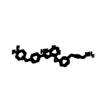 NCC#CCc1cccc(Oc2ncnc3[nH]c(-c4ccc(CN5CCC(F)(F)CC5)cc4)cc23)c1